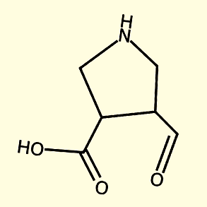 O=CC1CNCC1C(=O)O